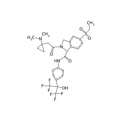 CCS(=O)(=O)c1ccc2c(c1)CN(C(=O)CC1(N(C)C)CC1)C2C(=O)Nc1ccc(C(O)(C(F)(F)F)C(F)(F)F)cc1